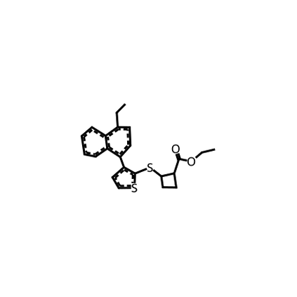 CCOC(=O)C1CCC1Sc1sccc1-c1ccc(CC)c2ccccc12